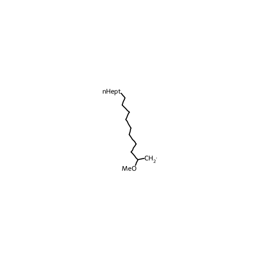 [CH2]C(CCCCCCCCCCCCCCC)OC